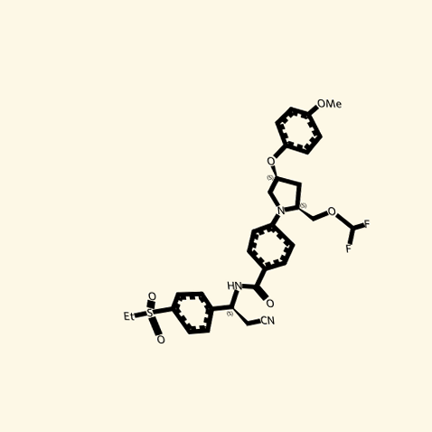 CCS(=O)(=O)c1ccc([C@H](CC#N)NC(=O)c2ccc(N3C[C@@H](Oc4ccc(OC)cc4)C[C@H]3COC(F)F)cc2)cc1